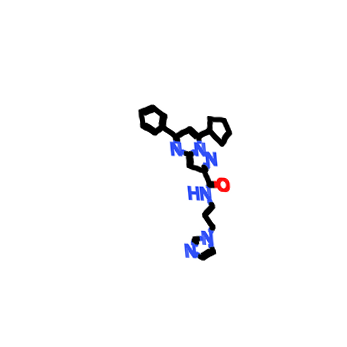 O=C(NCCCn1ccnc1)c1cc2nc(-c3ccccc3)cc(C3CCCC3)n2n1